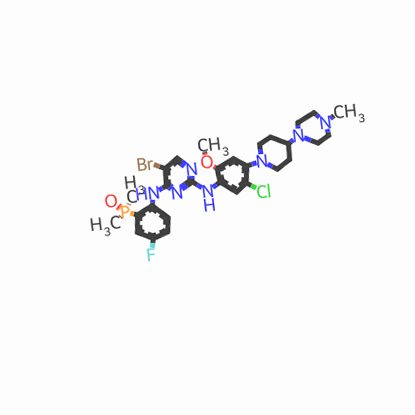 COc1cc(N2CCC(N3CCN(C)CC3)CC2)c(Cl)cc1Nc1ncc(Br)c(Nc2ccc(F)cc2P(C)(C)=O)n1